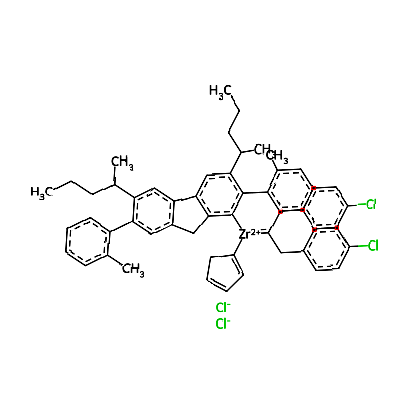 CCCC(C)c1cc2c(cc1-c1ccccc1C)Cc1c-2cc(C(C)CCC)c(-c2ccccc2C)[c]1[Zr+2]([C]1=CC=CC1)=[C](Cc1ccc(Cl)cc1)Cc1ccc(Cl)cc1.[Cl-].[Cl-]